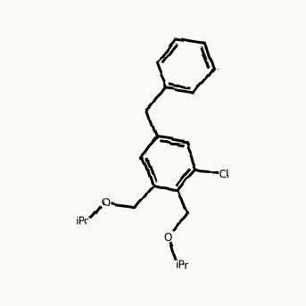 CC(C)OCc1cc(Cc2c[c]ccc2)cc(Cl)c1COC(C)C